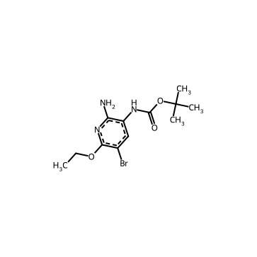 CCOc1nc(N)c(NC(=O)OC(C)(C)C)cc1Br